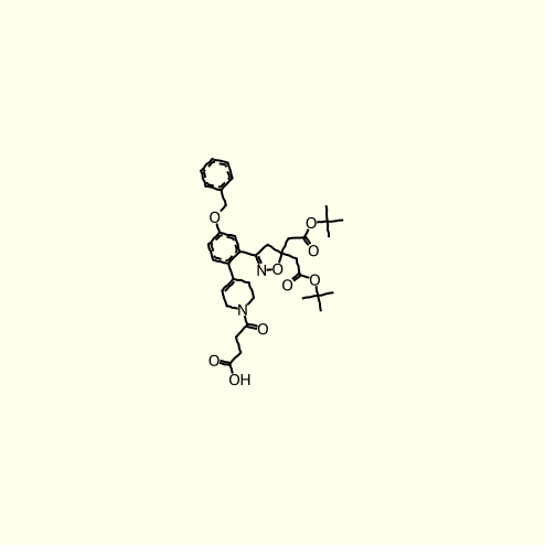 CC(C)(C)OC(=O)CC1(CC(=O)OC(C)(C)C)CC(c2cc(OCc3ccccc3)ccc2C2=CCN(C(=O)CCC(=O)O)CC2)=NO1